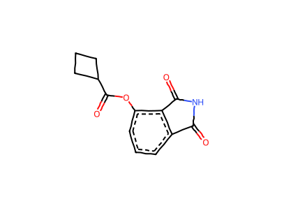 O=C1NC(=O)c2c(OC(=O)C3CCC3)cccc21